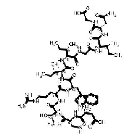 CC[C@H](C)[C@H](NC(=O)CNC(=O)[C@@H](NC(=O)[C@@H](NC(=O)[C@H](Cc1c[nH]c2ccccc12)NC(=O)[C@H](CCCNC(=N)N)NC(=O)[C@@H](NC(=O)[C@H](CS)NC(=O)[C@@H](N)CC(=O)O)[C@@H](C)O)[C@@H](C)CC)[C@@H](C)CC)C(=O)N[C@@H](CC(N)=O)C(=O)NCC(=O)O